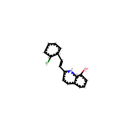 Oc1cccc2ccc(C=Cc3ccccc3Br)nc12